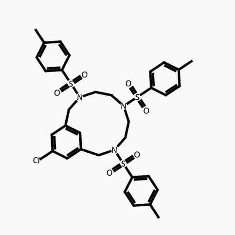 Cc1ccc(S(=O)(=O)N2CCN(S(=O)(=O)c3ccc(C)cc3)Cc3cc(Cl)cc(c3)CN(S(=O)(=O)c3ccc(C)cc3)CC2)cc1